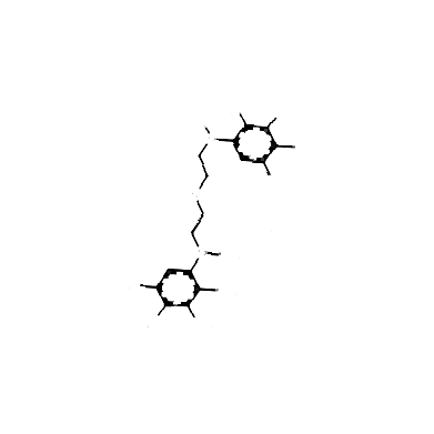 Cc1cc(N(C)CCNCCN(C)c2cc(C)c(C)c(C)c2C)c(C)c(C)c1C.[Zr]